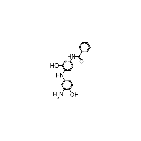 Nc1cc(Nc2ccc(NC(=O)c3ccccc3)cc2O)ccc1O